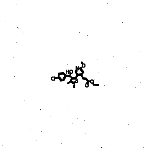 CCOC(=O)/C=C/c1cc(OC)ncc1-c1sc(C)c(C)c1C(O)c1ccc(Cl)cc1